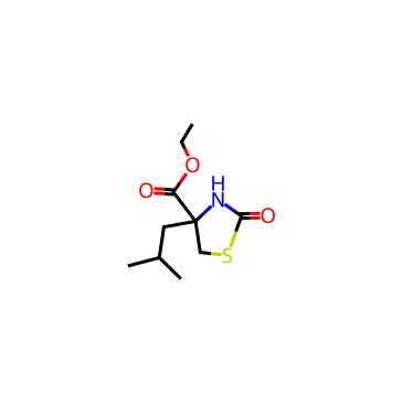 CCOC(=O)C1(CC(C)C)CSC(=O)N1